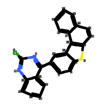 Clc1nc(-c2ccc3sc4ccc5ccccc5c4c3c2)c2ccccc2n1